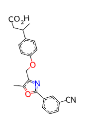 Cc1oc(-c2cccc(C#N)c2)nc1COc1ccc(C(C)CC(=O)O)cc1